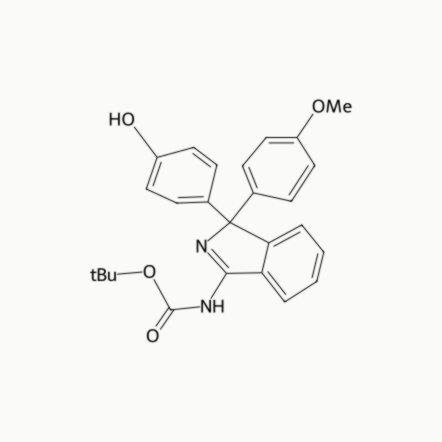 COc1ccc(C2(c3ccc(O)cc3)N=C(NC(=O)OC(C)(C)C)c3ccccc32)cc1